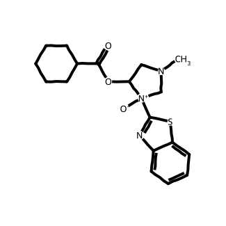 CN1CC(OC(=O)C2CCCCC2)[N+]([O-])(c2nc3ccccc3s2)C1